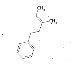 CC=C(C)CCc1ccccc1